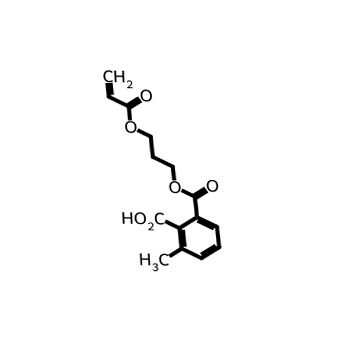 C=CC(=O)OCCCOC(=O)c1cccc(C)c1C(=O)O